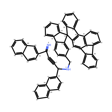 N=C(C#CC(NCc1ccc2c(c1)C1(c3ccccc3-2)c2ccccc2-c2c1cc1c3c(cccc23)-c2ccccc2-1)c1ccc2ccccc2c1)c1ccc2ccccc2c1